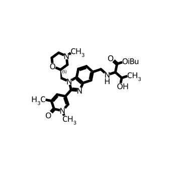 Cc1cc(-c2nc3cc(CNC(C(=O)OCC(C)C)C(C)O)ccc3n2C[C@@H]2CN(C)CCO2)cn(C)c1=O